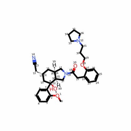 COc1ccccc1[C@]1(O)C[C@H](CC#N)C[C@H]2CN(C(=O)Cc3ccccc3OCCCN3CCCC3)C[C@H]21